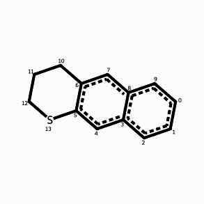 c1ccc2cc3c(cc2c1)CCCS3